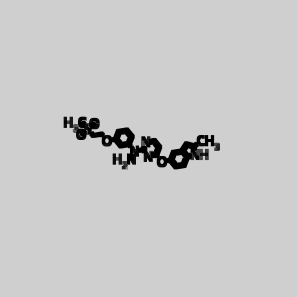 Cc1cc2cc(Oc3ccnc(N(N)c4cccc(OCCS(C)(=O)=O)c4)n3)ccc2[nH]1